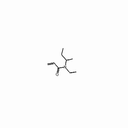 C=CC(=O)N(CC)C(C)CC